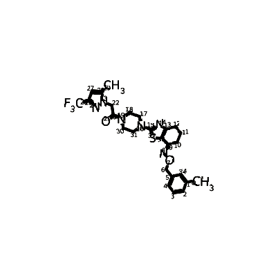 Cc1cccc(CON=C2CCCc3nc(N4CCN(C(=O)Cn5nc(C(F)(F)F)cc5C)CC4)sc32)c1